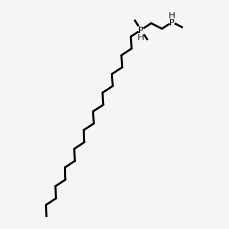 CCCCCCCCCCCCCCCCCCCC[PH](C)(C)CCPC